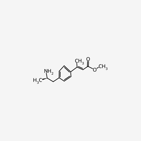 COC(=O)/C=C(\C)c1ccc(C[C@@H](C)N)cc1